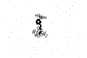 CC(C)(O)C(C)(C)OC(=O)Cc1cccc(B(O)O)c1